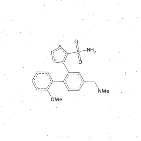 CNCc1ccc(-c2ccccc2OC)c(-c2ccsc2S(N)(=O)=O)c1